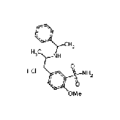 COc1ccc(CC(C)NC(C)c2ccccc2)cc1S(N)(=O)=O.Cl